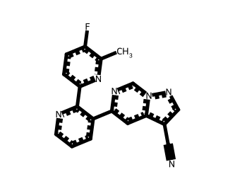 Cc1nc(-c2ncccc2-c2cc3c(C#N)cnn3cn2)ccc1F